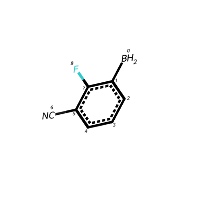 Bc1cccc(C#N)c1F